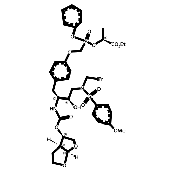 CCOC(=O)[C@H](C)OP(=O)(COc1ccc(C[C@H](NC(=O)O[C@H]2CO[C@H]3OCC[C@H]32)[C@H](O)CN(CC(C)C)S(=O)(=O)c2ccc(OC)cc2)cc1)Oc1ccccc1